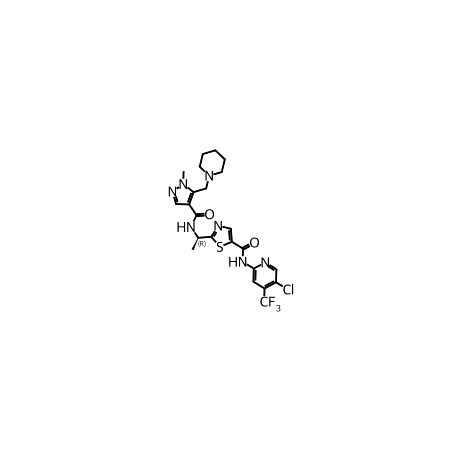 C[C@@H](NC(=O)c1cnn(C)c1CN1CCCCC1)c1ncc(C(=O)Nc2cc(C(F)(F)F)c(Cl)cn2)s1